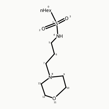 CCCCCCS(=O)(=O)NCCCN1CCOCC1